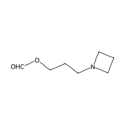 O=COCCCN1CCC1